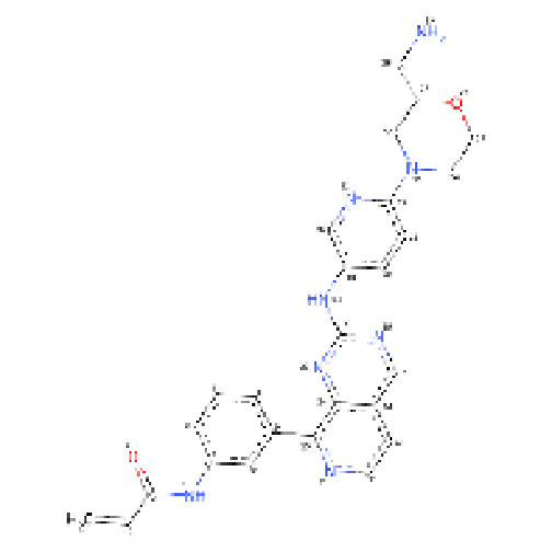 C=CC(=O)Nc1cccc(-c2nccc3cnc(Nc4ccc(N5CCO[C@@H](CN)C5)nc4)nc23)c1